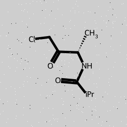 CC(C)C(=O)N[C@@H](C)C(=O)CCl